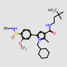 Cc1c(C(=O)NCCC(C)(C)C(=O)O)cc(-c2ccc([S+]([O-])NC(C)(C)C)c(OC(F)(F)F)c2)n1CC1CCCCC1